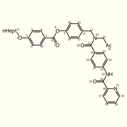 CCCCCCCOc1ccc(C(=O)Oc2ccc(CN(CC(C)=O)C(=O)c3ccc(NC(=O)c4ccccn4)cc3)cc2)cc1